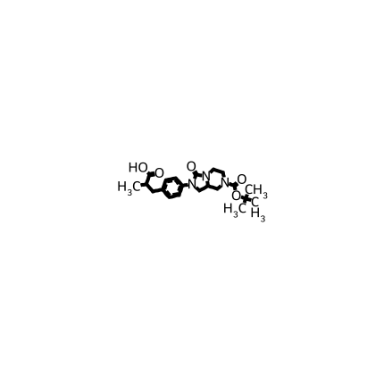 CC(Cc1ccc(N2CC3CN(C(=O)OC(C)(C)C)CCN3C2=O)cc1)C(=O)O